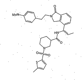 C/C=C(/NC(=O)C1CCCN(S(=O)(=O)c2ccc(C)s2)C1)c1cccc2c1CN(CCC1C=C=C(NC)C=C1)C2=O